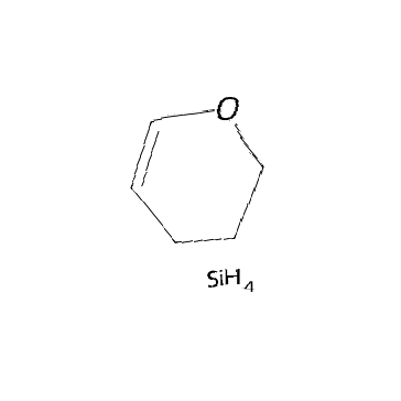 C1=COCCC1.[SiH4]